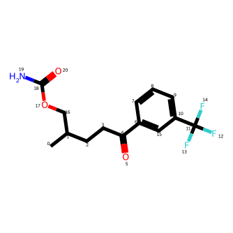 CC(CCC(=O)c1cccc(C(F)(F)F)c1)COC(N)=O